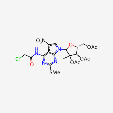 CSc1nc(NC(=O)CCl)c2c([N+](=O)[O-])cn(C3O[C@H](COC(C)=O)[C@@H](OC(C)=O)C3(C)OC(C)=O)c2n1